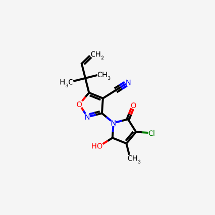 C=CC(C)(C)c1onc(N2C(=O)C(Cl)=C(C)C2O)c1C#N